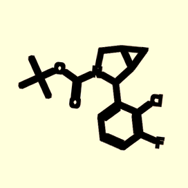 CC(C)(C)OC(=O)N1CC2CC2C1c1cccc(F)c1Cl